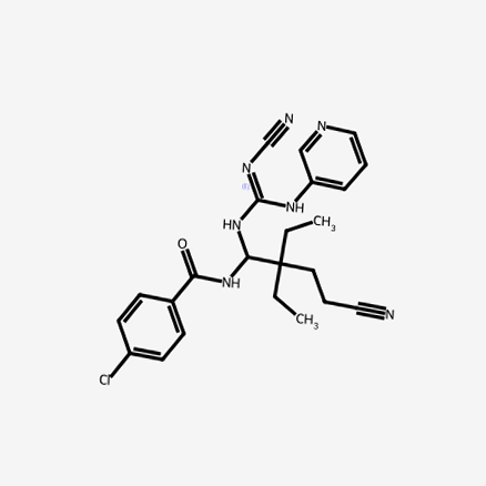 CCC(CC)(CCC#N)C(NC(=O)c1ccc(Cl)cc1)N/C(=N/C#N)Nc1cccnc1